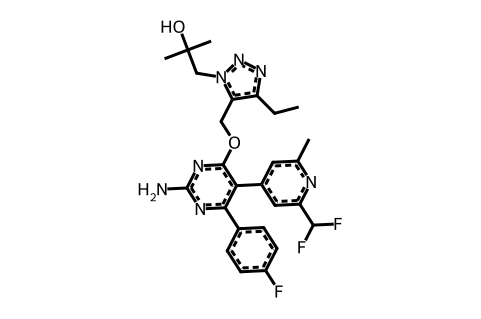 CCc1nnn(CC(C)(C)O)c1COc1nc(N)nc(-c2ccc(F)cc2)c1-c1cc(C)nc(C(F)F)c1